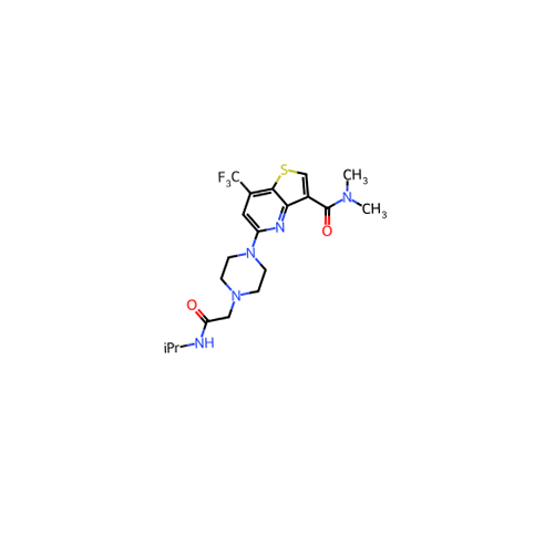 CC(C)NC(=O)CN1CCN(c2cc(C(F)(F)F)c3scc(C(=O)N(C)C)c3n2)CC1